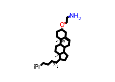 CC(C)CCC[C@@H](C)C1CCC2C3CC=C4C[C@@H](OCCN)CC[C@]4(C)C3CC[C@@]21C